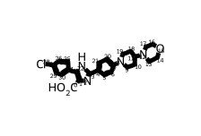 O=C(O)c1nc(-c2ccc(N3CCC(N4CCOCC4)CC3)cc2)[nH]c1-c1ccc(Cl)cc1